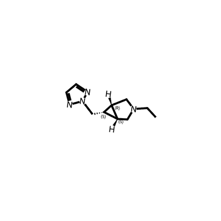 CCN1C[C@@H]2[C@H](C1)[C@@H]2Cn1nccn1